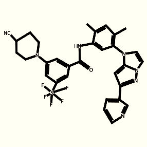 Cc1cc(C)c(-n2ccn3nc(-c4cccnc4)cc23)cc1NC(=O)c1cc(N2CCC(C#N)CC2)cc(S(F)(F)(F)(F)F)c1